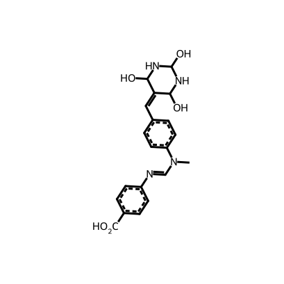 CN(C=Nc1ccc(C(=O)O)cc1)c1ccc(C=C2C(O)NC(O)NC2O)cc1